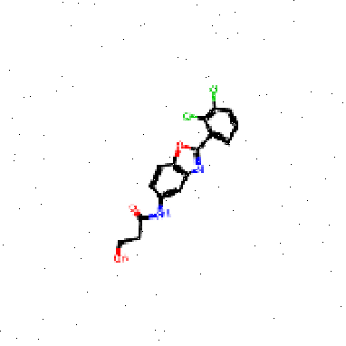 O=C(CCO)Nc1ccc2oc(-c3cccc(Cl)c3Cl)nc2c1